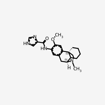 COc1cc2c(cc1NC(=O)c1c[nH]cn1)C[C@H]1C3CCCC[C@@]23CCN1C